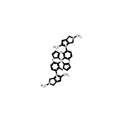 Cc1cc2c(n1-c1ccc(F)[c]([Ti]([C]3=CC=CC3)([C]3=CC=CC3)[c]3c(F)ccc(-n4c(C)cc5c4CN(C)C5)c3F)c1F)CN(C)C2